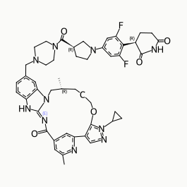 Cc1cc2cc(n1)-c1cnn(C3CC3)c1OCCC[C@@H](C)CN1/C(=N/C2=O)Nc2ccc(CN3CCN(C(=O)[C@@H]4CCN(c5cc(F)c([C@H]6CCC(=O)NC6=O)c(F)c5)C4)CC3)cc21